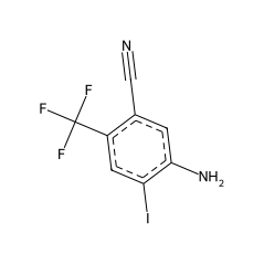 N#Cc1cc(N)c(I)cc1C(F)(F)F